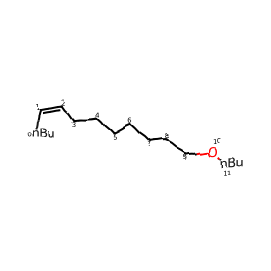 CCCC/C=C\CCCCCCCOCCCC